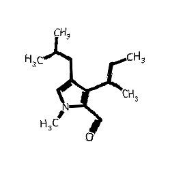 CCC(C)c1c(CC(C)C)cn(C)c1C=O